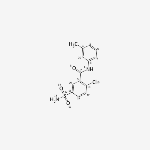 Cc1cccc(NC(=O)c2cc(S(N)(=O)=O)ccc2Cl)c1